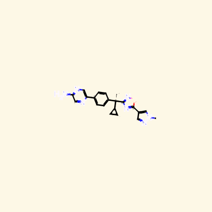 Cn1cc(-c2nc([C@@](C)(c3ccc(-c4cnc(N)cn4)cc3)C3CC3)no2)cn1